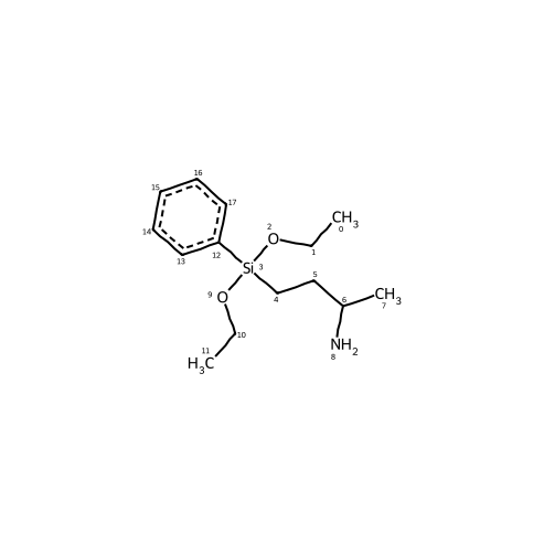 CCO[Si](CCC(C)N)(OCC)c1ccccc1